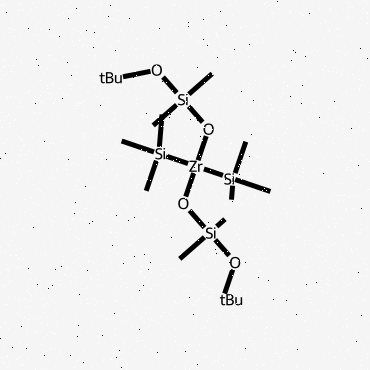 CC(C)(C)O[Si](C)(C)[O][Zr]([O][Si](C)(C)OC(C)(C)C)([Si](C)(C)C)[Si](C)(C)C